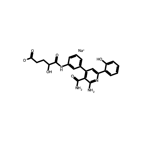 NC(=O)c1c(-c2cccc(NC(=O)C(O)CCC(=O)[O-])c2)cc(-c2ccccc2O)nc1N.[Na+]